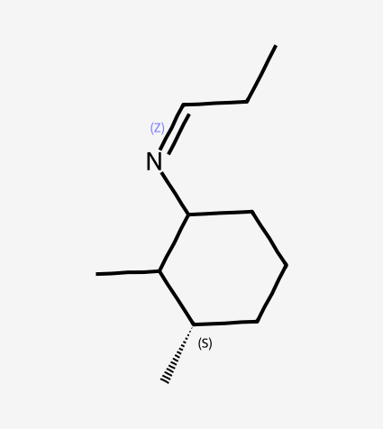 CC/C=N\C1CCC[C@H](C)C1C